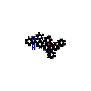 C1=CC2=NC(c3ccccc3)=C(c3ccc(-c4ccc(N(c5ccccc5)c5ccc(-c6ccccc6)cc5)c5oc6ccccc6c45)cc3)NC2C=C1